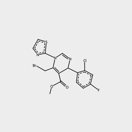 COC(=O)C1=C(CBr)N(c2nccs2)C=NC1c1ccc(F)cc1Cl